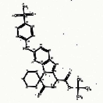 CC(C)(C)OC(=O)N1NC(=O)C2(CCCCC2)n2c1cc1cnc(Nc3ccc(S(N)(=O)=O)cc3)nc12